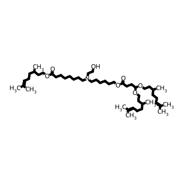 CC(C)=CCCC(C)CCOC(=O)CCCCCCCN(CCO)CCCCCCOC(=O)CCC(OCCC(C)CCC=C(C)C)OCCC(C)CCC=C(C)C